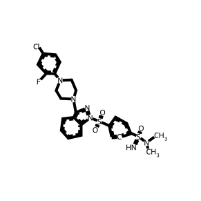 CN(C)S(=N)(=O)c1ccc(S(=O)(=O)n2nc(N3CCN(c4ccc(Cl)cc4F)CC3)c3ccccc32)cc1